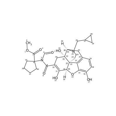 COC(=O)C1(N(C=O)C(=O)C2=C(O)[C@@H]3Oc4c(O)ccc5c4[C@@]34CCN(CC3CC3)[C@H](C5)[C@]4(O)C2)CCCC1